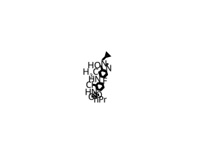 CCCS(=O)(=O)Nc1ccc(F)c(Nc2ccc3c(c2C)C(O)N(CC2CC2)C=N3)c1Cl